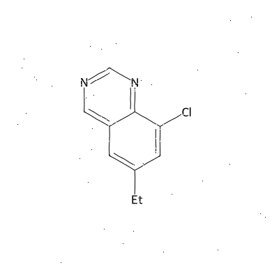 CCc1cc(Cl)c2ncncc2c1